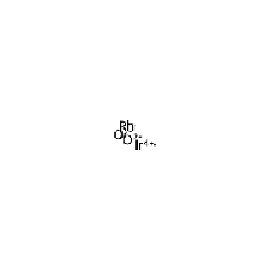 [Ir+4].[O-2].[O-2].[Rh]